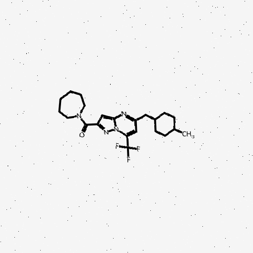 CC1CCC(Cc2cc(C(F)(F)F)n3nc(C(=O)N4CCCCCC4)cc3n2)CC1